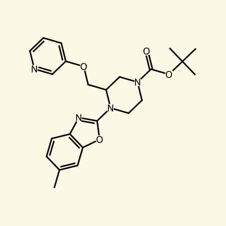 Cc1ccc2nc(N3CCN(C(=O)OC(C)(C)C)CC3COc3cccnc3)oc2c1